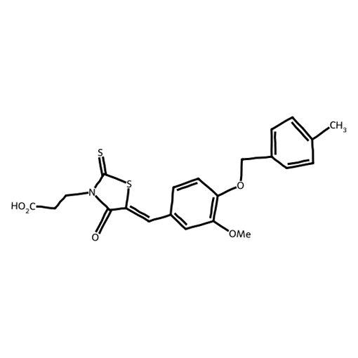 COc1cc(/C=C2\SC(=S)N(CCC(=O)O)C2=O)ccc1OCc1ccc(C)cc1